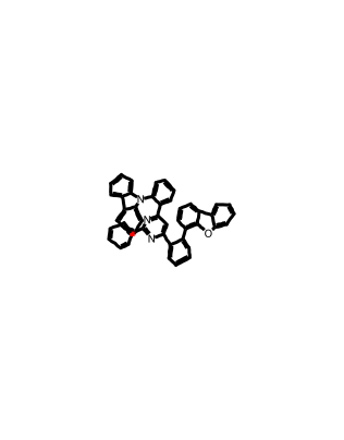 c1ccc(-c2nc(-c3ccccc3-c3cccc4c3oc3ccccc34)cc(-c3ccccc3-n3c4ccccc4c4ccccc43)n2)cc1